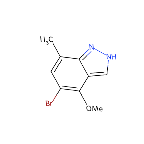 COc1c(Br)cc(C)c2n[nH]cc12